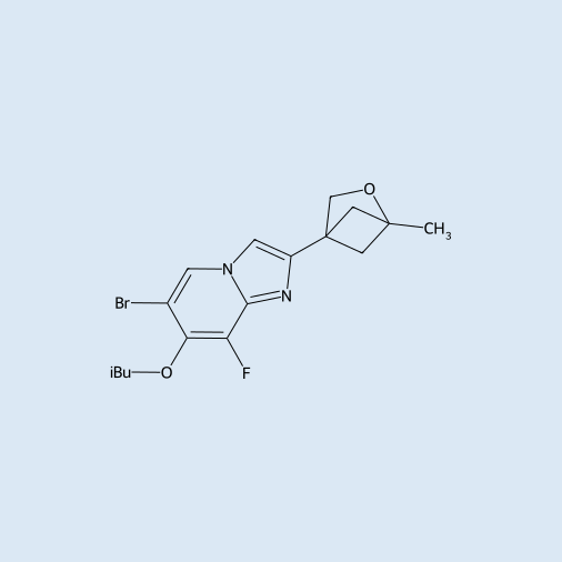 CCC(C)Oc1c(Br)cn2cc(C34COC(C)(C3)C4)nc2c1F